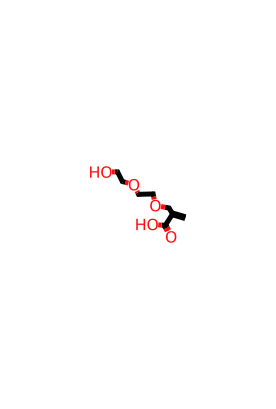 C=C(COCCOCCO)C(=O)O